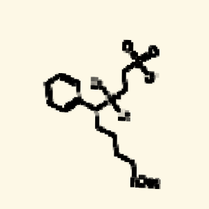 CCCCCCCCCCCCCCC(c1ccccc1)[N+](CC)(CC)CCS(=O)(=O)[O-]